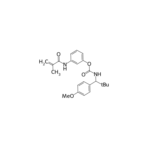 C=C(C)C(=O)Nc1cccc(OC(=O)NC(c2ccc(OC)cc2)C(C)(C)C)c1